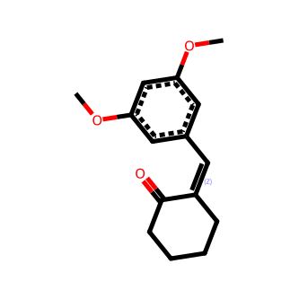 COc1cc(/C=C2/CCCCC2=O)cc(OC)c1